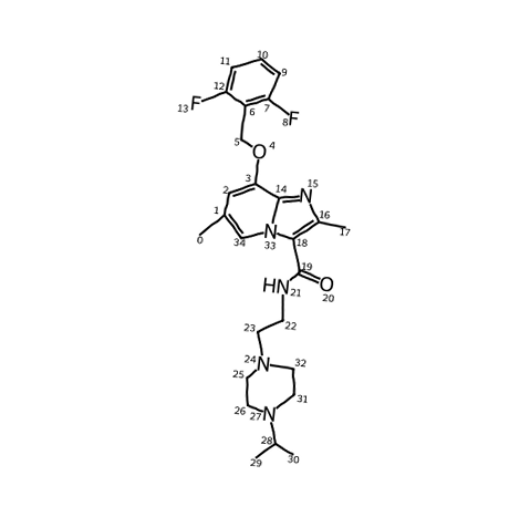 Cc1cc(OCc2c(F)cccc2F)c2nc(C)c(C(=O)NCCN3CCN(C(C)C)CC3)n2c1